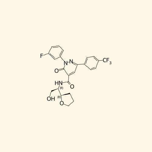 O=C(N[C@H](CO)[C@H]1CCCO1)c1cc(-c2ccc(C(F)(F)F)cc2)nn(-c2cccc(F)c2)c1=O